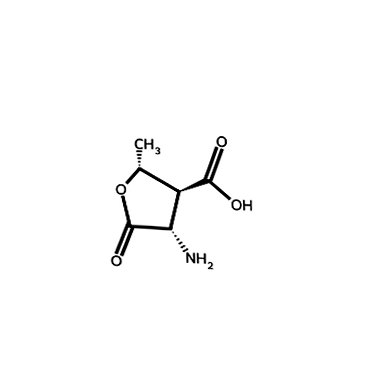 C[C@H]1OC(=O)[C@@H](N)[C@@H]1C(=O)O